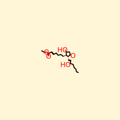 CCCCC[C@H](O)/C=C/[C@H]1C(=O)C[C@H](O)[C@@H]1CCCC/C=C/C(=O)OCC